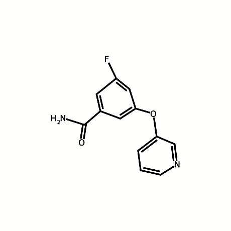 NC(=O)c1cc(F)cc(Oc2cccnc2)c1